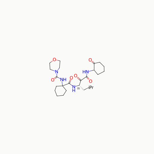 CC(C)C[C@H](NC(=O)C1(NC(=O)N2CCOCC2)CCCCC1)C(=O)C(=O)NC1CCCCC1=O